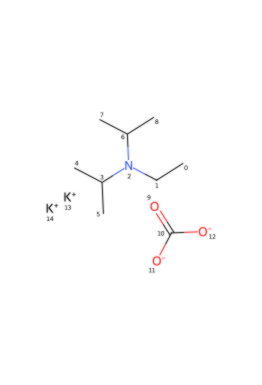 CCN(C(C)C)C(C)C.O=C([O-])[O-].[K+].[K+]